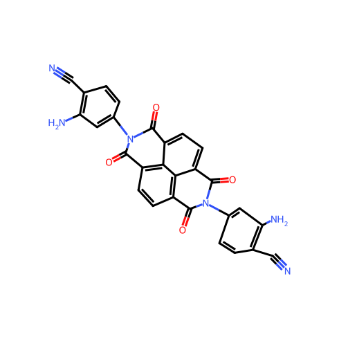 N#Cc1ccc(N2C(=O)c3ccc4c5c(ccc(c35)C2=O)C(=O)N(c2ccc(C#N)c(N)c2)C4=O)cc1N